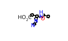 O=C(O)c1cccc(-c2ccc(CNC(=O)[C@@H]3C[C@H]3c3ccccc3)c3c2CCN(Cc2ccncc2)C3)c1